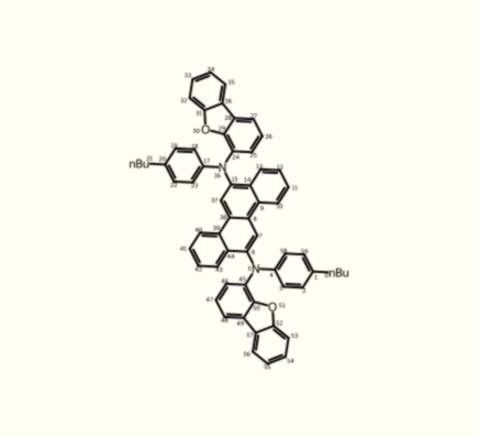 CCCCc1ccc(N(c2cc3c4ccccc4c(N(c4ccc(CCCC)cc4)c4cccc5c4oc4ccccc45)cc3c3ccccc23)c2cccc3c2oc2ccccc23)cc1